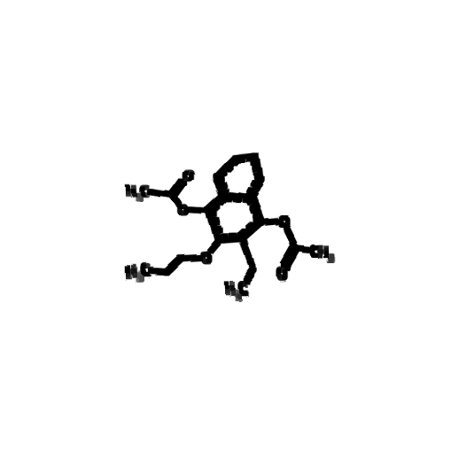 CCCOc1c(CC)c(OC(C)=O)c2ccccc2c1OC(C)=O